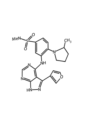 CNS(=O)(=O)c1ccc(N2CCCC2C)c(Nc2ncnc3[nH]nc(-c4ccoc4)c23)c1